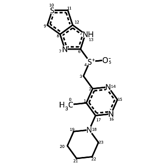 Cc1c(C[S+]([O-])c2nc3cscc3[nH]2)ncnc1N1CCCCC1